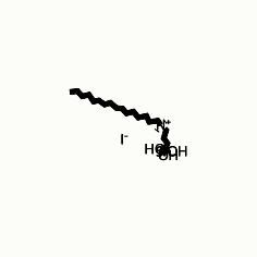 CCCCCCCCCCCCCCCC[N+](C)(C)CCC[Si](O)(O)O.[I-]